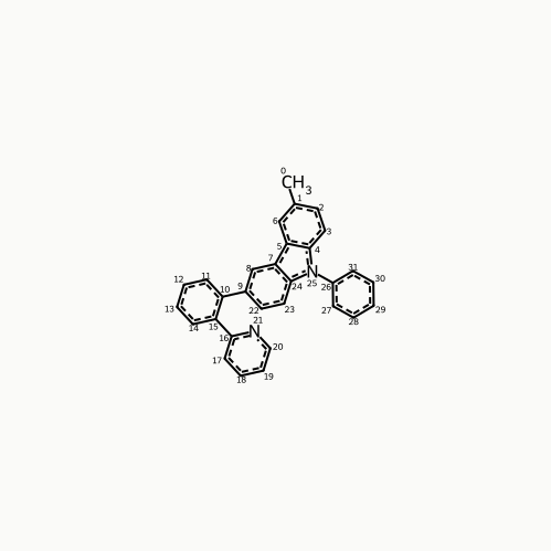 Cc1ccc2c(c1)c1cc(-c3ccccc3-c3ccccn3)ccc1n2-c1ccccc1